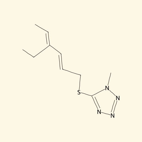 C/C=C(/C=C/CSc1nnnn1C)CC